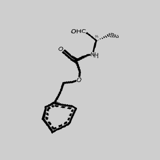 CC(C)(C)[C@@H](C=O)NC(=O)OCc1ccccc1